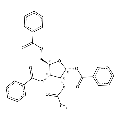 CC(=O)S[C@H]1[C@@H](OC(=O)c2ccccc2)O[C@H](COC(=O)c2ccccc2)[C@H]1OC(=O)c1ccccc1